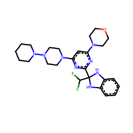 FC(F)C1(c2nc(N3CCOCC3)cc(N3CCN(N4CC[CH]CC4)CC3)n2)Nc2ccccc2N1